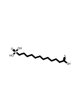 O=P(O)(O)CCCCCCCCCCCC(=S)S